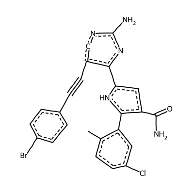 Cc1ccc(Cl)cc1-c1[nH]c(-c2nc(N)ncc2C#Cc2ccc(Br)cc2)cc1C(N)=O